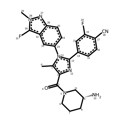 Cc1c(C(=O)N2CCC[C@@H](N)C2)nc(-c2ccc(C#N)c(F)c2)n1-c1ccc2nn(C)c(F)c2c1